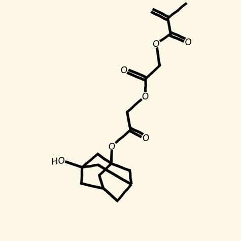 C=C(C)C(=O)OCC(=O)OCC(=O)OC12CC3CC(CC(O)(C3)C1)C2